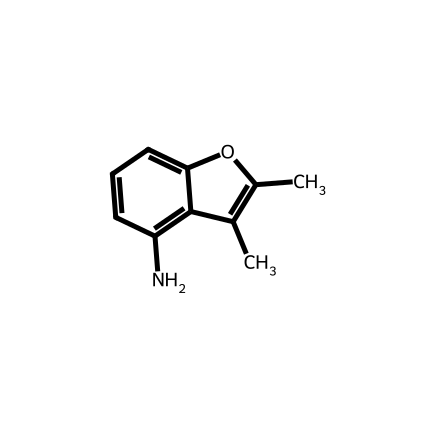 Cc1oc2cccc(N)c2c1C